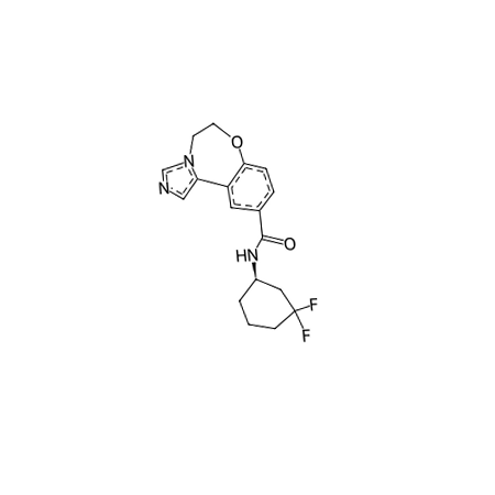 O=C(N[C@@H]1CCCC(F)(F)C1)c1ccc2c(c1)-c1cncn1CCO2